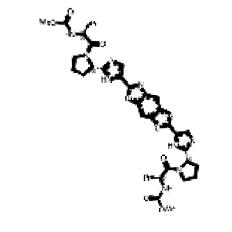 COC(=O)N[C@H](C(=O)N1CCC[C@H]1c1ncc(-c2nc3cc4nc(-c5cnc([C@@H]6CCCN6C(=O)[C@@H](NC(=O)OC)C(C)C)[nH]5)oc4cc3o2)[nH]1)C(C)C